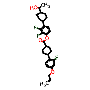 C=CCOc1ccc(C2CCC(C(=O)Oc3ccc(C4CCC(C(C)O)CC4)c(F)c3F)CC2)c(F)c1